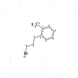 FC(F)(F)c1ccccc1CCCBr